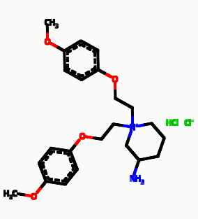 COc1ccc(OCC[N+]2(CCOc3ccc(OC)cc3)CCCC(N)C2)cc1.Cl.[Cl-]